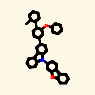 Cc1ccccc1-c1ccc(-c2ccc3c(c2)c2ccccc2n3-c2ccc3c(c2)oc2ccccc23)cc1Oc1ccccc1